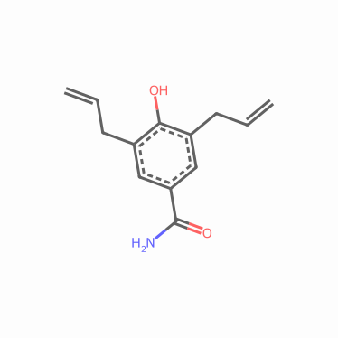 C=CCc1cc(C(N)=O)cc(CC=C)c1O